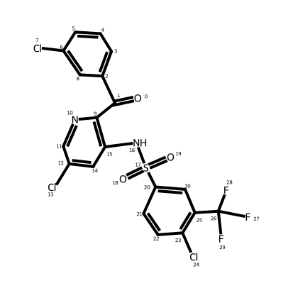 O=C(c1cccc(Cl)c1)c1ncc(Cl)cc1NS(=O)(=O)c1ccc(Cl)c(C(F)(F)F)c1